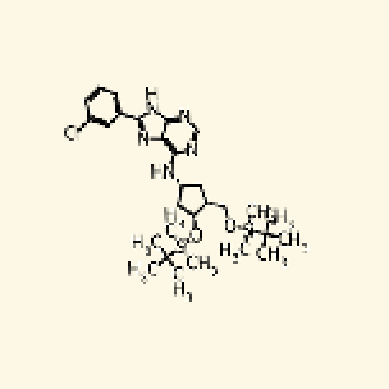 CC(C)(C)[Si](C)(C)OC[C@@H]1C[C@@H](Nc2ncnc3[nH]c(-c4cccc(Cl)c4)nc23)C[C@@H]1O[Si](C)(C)C(C)(C)C